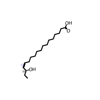 CC[C@H](O)/C=C\CCCCCCCCCCCCC(=O)O